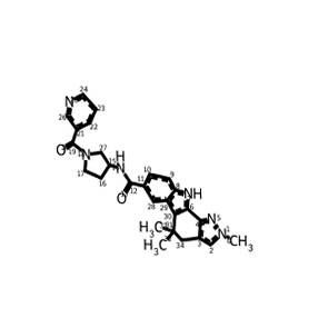 Cn1cc2c(n1)-c1[nH]c3ccc(C(=O)NC4CCN(C(=O)c5cccnc5)C4)cc3c1C(C)(C)C2